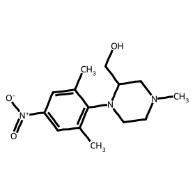 Cc1cc([N+](=O)[O-])cc(C)c1N1CCN(C)CC1CO